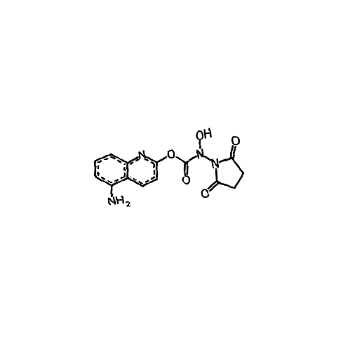 Nc1cccc2nc(OC(=O)N(O)N3C(=O)CCC3=O)ccc12